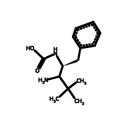 CC(C)(C)C(N)[C@@H](Cc1ccccc1)NC(=O)O